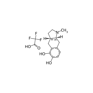 CN1CC[C@H]2Cc3c(ccc(O)c3O)C[C@H]21.O=C(O)C(F)(F)F